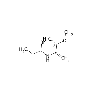 C=C(NC(Br)CC)[C@H](C)OC